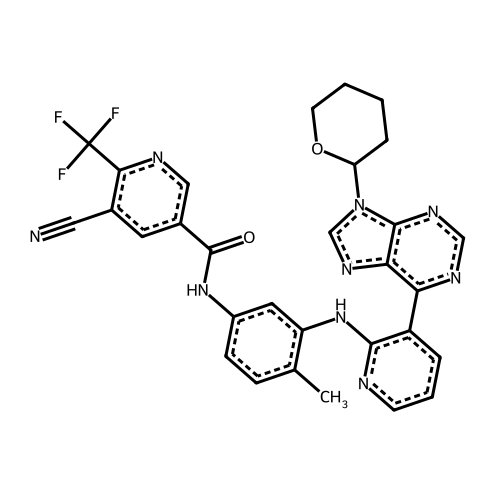 Cc1ccc(NC(=O)c2cnc(C(F)(F)F)c(C#N)c2)cc1Nc1ncccc1-c1ncnc2c1ncn2C1CCCCO1